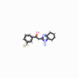 O=C(Cc1nc2c([nH]1)CCCC2)c1cccc(Br)c1